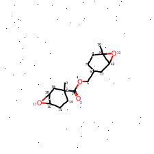 CC1(C(=O)OCC2CCC3(C)OC3C2)CCC2OC2C1